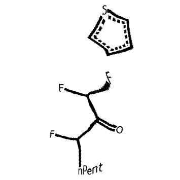 CCCCCC(F)C(=O)C(F)F.c1ccsc1